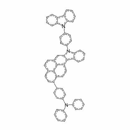 c1ccc(N(c2ccccc2)c2ccc(-c3ccc4ccc5cc6c(c7ccc3c4c57)c3ccccc3n6-c3ccc(-n4c5ccccc5c5ccccc54)cc3)cc2)cc1